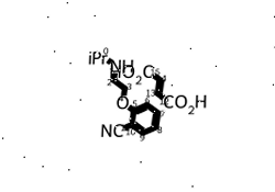 CC(C)NCCOc1ccccc1C#N.O=C(O)C=CC(=O)O